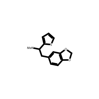 CNC(Cc1ccc2c(c1)OCO2)c1cccs1